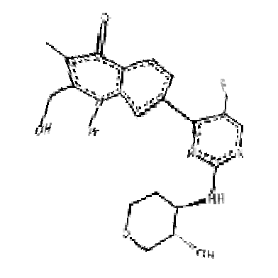 Cc1c(CO)n(C(C)C)c2cc(-c3nc(N[C@@H]4CCOC[C@H]4O)ncc3F)ccc2c1=O